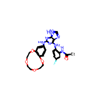 CCC(=O)Nc1cc(F)ccc1Nc1nc(Nc2ccc3c(c2)OCCOCCOCCO3)nc2[nH]cnc12